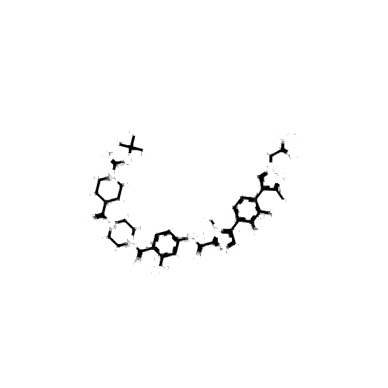 Cc1nn(CC(=O)O)cc1-c1ccc(-c2cnc(C(=O)Nc3ccc(C(=O)N4CCN(C(=O)C5CCN(C(=O)OC(C)(C)C)CC5)CC4)c(Cl)c3)n2C)c(F)c1F